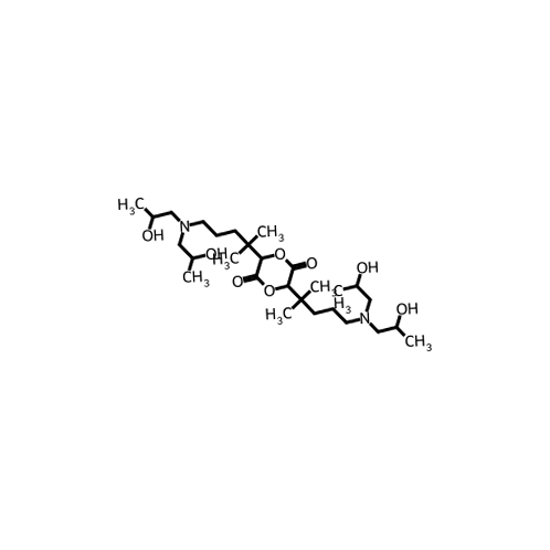 CC(O)CN(CCCC(C)(C)C1OC(=O)C(C(C)(C)CCCN(CC(C)O)CC(C)O)OC1=O)CC(C)O